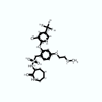 COCCOc1ccc(CS(=O)(=O)NC2CCCCNC2=O)c(Oc2ncc(C(F)(F)F)cc2Cl)c1